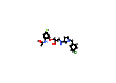 CC(=O)Nc1ccc(F)cc1OC[C@H](O)CNC1CCN(Cc2ccc(Cl)cc2)C1